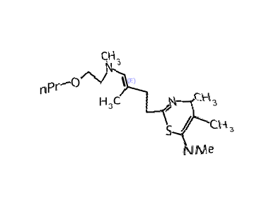 CCCOCCN(C)/C=C(\C)CCC1=NC(C)C(C)=C(NC)S1